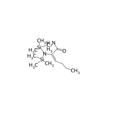 CCC/C=C(\C(N)=O)N([Si](C)(C)C)[Si](C)(C)C